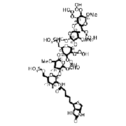 COC1[C@H](O[C@H]2C(OOO)C(OOO)[C@@H](O[C@H]3C(OC)C(C)[C@@H](O[C@@H]4C(COS(=O)(=O)O)O[C@H](OC)C(OOO)[C@H]4OOO)O[C@H]3OC=O)O[C@H]2COS(=O)(=O)O)OC(OC=O)[C@@H](O[C@@H]2OC(COS(=O)(=O)O)[C@@H](C)[C@H](C)C2NC(=O)CCCCC2SCC3NC(=O)NC32)[C@@H]1C